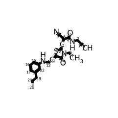 C#CCNC(=O)C(=C=c1sc(=C=CNc2cccc(CCI)c2)c(=O)n1CC)C#N